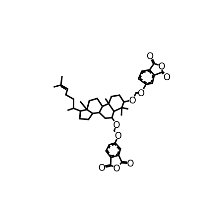 CC(C)=CCCC(C)C1CCC2C3CC(OCOc4ccc5c(c4)C(=O)OC5=O)C4C(C)(C)C(OCOc5ccc6c(c5)C(=O)OC6=O)CCC4(C)C3CCC12C